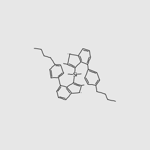 CCCCc1ccc(-c2cccc3c2C([Si](C)(C)C2=C(C)[CH]c4cccc(-c5ccc(CCCC)cc5)c42)=C(C)[CH]3)cc1